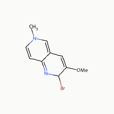 COC1=CC2=CN(C)C=CC2=NC1Br